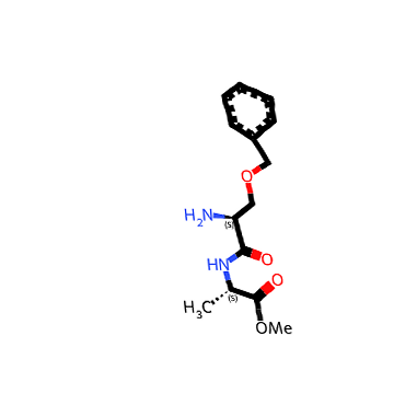 COC(=O)[C@H](C)NC(=O)[C@@H](N)COCc1ccccc1